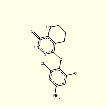 Nc1cc(Cl)c(Oc2n[nH]c(=O)c3c2CCCN3)c(Cl)c1